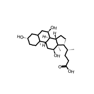 C[C@H](CCC(=O)O)[C@H]1CC[C@H]2[C@@H]3[C@H](O)CC4C[C@@H](O)CC[C@]4(C)[C@H]3C[C@H](O)[C@]12C